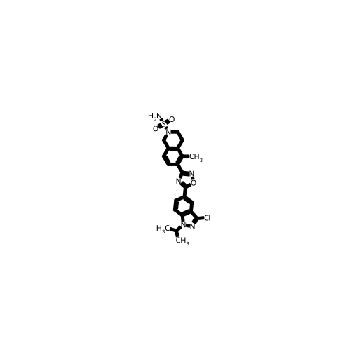 Cc1c(-c2noc(-c3ccc4c(c3)c(Cl)nn4C(C)C)n2)ccc2c1CCN(S(N)(=O)=O)C2